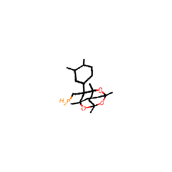 CC1CCC(C2(CP)C3(C)CC4(C)OC(C)(CC2(C)O4)O3)CC1C